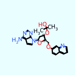 CC(C)(O)O[C@H]1C[C@H](n2ccc3c(N)ncnc32)O[C@@H]1COc1ccc2cccnc2c1